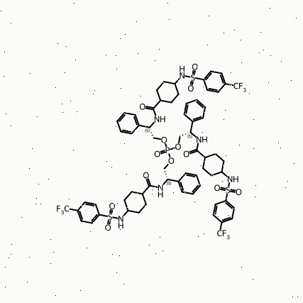 O=C(N[C@H](COP(=O)(OC[C@@H](NC(=O)C1CCC(NS(=O)(=O)c2ccc(C(F)(F)F)cc2)CC1)c1ccccc1)OC[C@@H](NC(=O)C1CCC(NS(=O)(=O)c2ccc(C(F)(F)F)cc2)CC1)c1ccccc1)c1ccccc1)C1CCC(NS(=O)(=O)c2ccc(C(F)(F)F)cc2)CC1